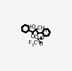 CC(O)(C(=O)c1ccccc1)C(OS(=O)(=O)C(F)(F)F)c1ccccc1